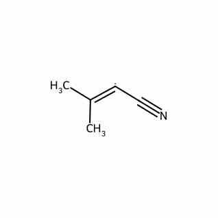 CC(C)=[C]C#N